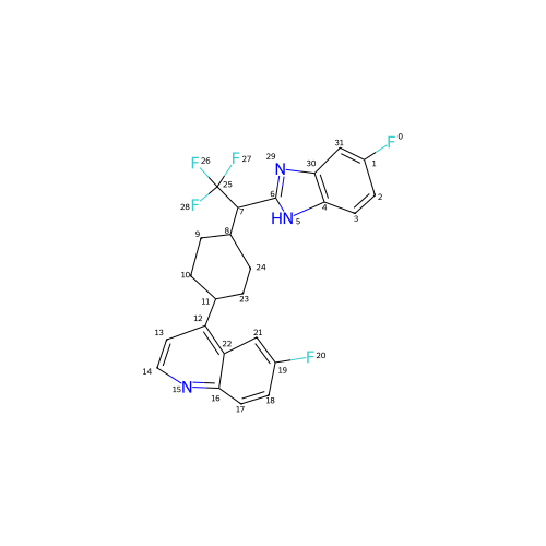 Fc1ccc2[nH]c(C(C3CCC(c4ccnc5ccc(F)cc45)CC3)C(F)(F)F)nc2c1